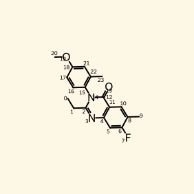 CCc1nc2cc(F)c(C)cc2c(=O)n1-c1ccc(OC)cc1C